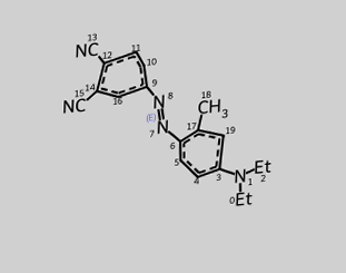 CCN(CC)c1ccc(/N=N/c2ccc(C#N)c(C#N)c2)c(C)c1